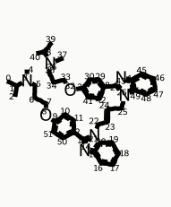 CC(C)N(C)CCCOc1ccc(-c2nc3ccccc3n2C/C=C/Cn2c(-c3ccc(OCCCN(C)C(C)C)cc3)nc3ccccc32)cc1